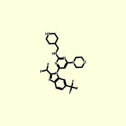 FC(F)c1nc2ccc(C(F)(F)F)cc2n1-c1cc(N2CCOCC2)nc(NCC2CCNCC2)n1